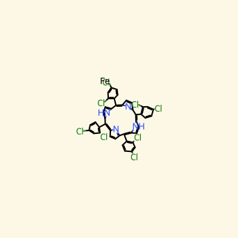 Clc1ccc(-c2c3nc(c(-c4ccc(Cl)cc4Cl)c4ccc([nH]4)c(-c4ccc(Cl)cc4Cl)c4nc(c(-c5ccc(Cl)cc5Cl)c5ccc2[nH]5)C=C4)C=C3)c(Cl)c1.[Fe]